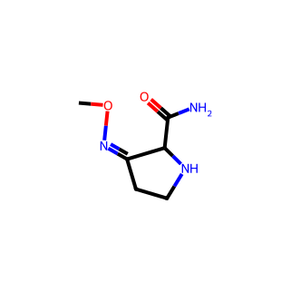 CO/N=C1/CCNC1C(N)=O